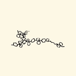 [C-]#[N+]/C(C(=O)OCC)=C1/Sc2c(OC(=O)C3CCC(C)CC3)ccc(OC(=O)C3CCC(OC(=O)C4CCC(OCCCCCCOC(=O)C=C)CC4)CC3)c2S1